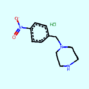 Cl.O=[N+]([O-])c1ccc(CN2CCNCC2)cc1